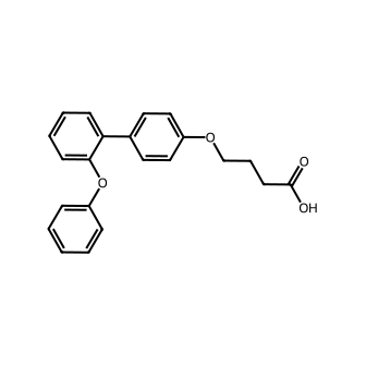 O=C(O)CCCOc1ccc(-c2ccccc2Oc2ccccc2)cc1